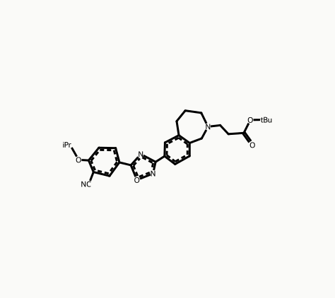 CC(C)Oc1ccc(-c2nc(-c3ccc4c(c3)CCCN(CCC(=O)OC(C)(C)C)C4)no2)cc1C#N